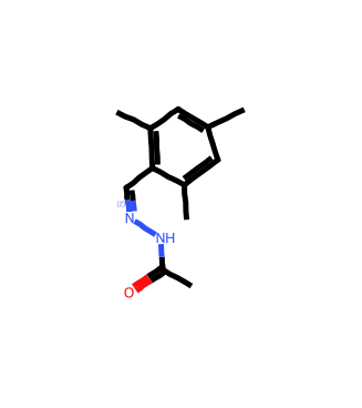 CC(=O)N/N=C\c1c(C)cc(C)cc1C